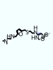 CN/C(=C\[N+](=O)[O-])NCCSCc1ccc(CNCCN(C)C)o1